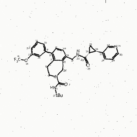 CC(C)(C)NC(=O)N1CCc2c(-c3cccc(OC(F)(F)F)c3)ccc(CNC(=O)[C@@H]3C[C@H]3c3cccnc3)c2C1